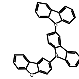 c1ccc2c(c1)oc1ccc(-n3c4ccccc4c4cc(-n5c6ccccc6c6ccccc65)ccc43)cc12